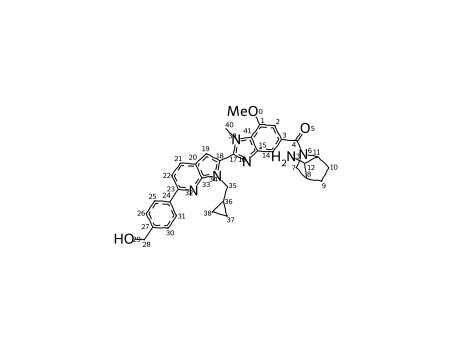 COc1cc(C(=O)N2CC3CCC2C3N)cc2nc(-c3cc4ccc(-c5ccc(CO)cc5)nc4n3CC3CC3)n(C)c12